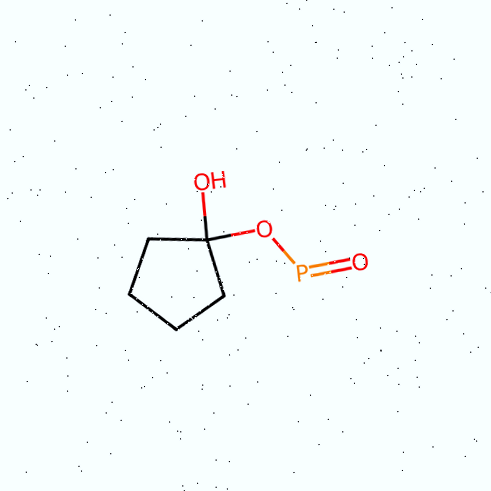 O=POC1(O)CCCC1